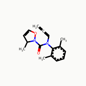 C=C=CN(C(=O)N1OC=CC1C)c1c(C)cccc1C